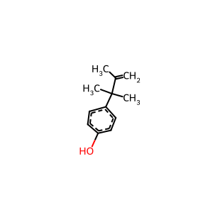 C=C(C)C(C)(C)c1ccc(O)cc1